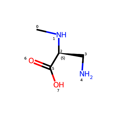 CN[C@@H](CN)C(=O)O